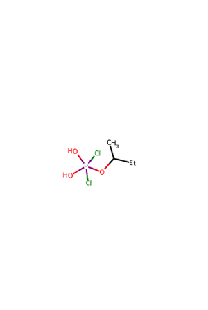 CCC(C)OP(O)(O)(Cl)Cl